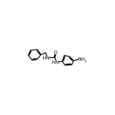 Nc1ccc(NC(=O)NCc2c[c]ccc2)cc1